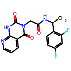 C[C@H](NC(=O)Cn1c(=O)[nH]c2ncccc2c1=O)c1ccc(F)cc1F